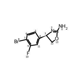 NC1=N[C@H](c2ccc(Br)c(F)c2)CO1